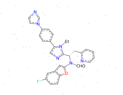 CCn1c(-c2ccc(-n3ccnc3)cc2)cnc1[C@H](Cc1ccccn1)N(C=O)c1cc2cc(F)ccc2o1